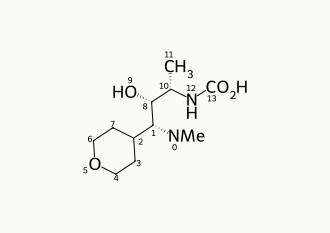 CN[C@H](C1CCOCC1)[C@H](O)[C@H](C)NC(=O)O